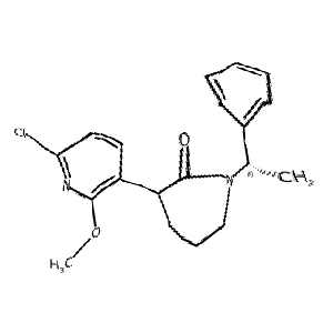 COc1nc(Cl)ccc1C1CCCN([C@@H](C)c2ccccc2)C1=O